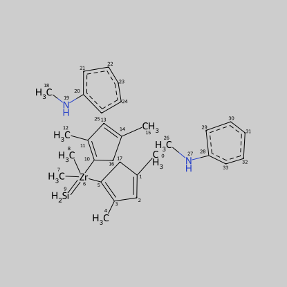 CC1=CC(C)=[C]([Zr]([CH3])([CH3])(=[SiH2])[C]2=C(C)C=C(C)C2)C1.CNc1ccccc1.CNc1ccccc1